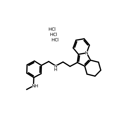 CNc1cccc(CNCCc2c3c(n4ccccc24)CCCC3)c1.Cl.Cl.Cl